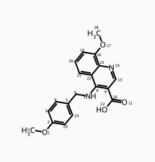 COc1ccc(CNc2c(C(=O)O)cnc3c(OC)cccc23)cc1